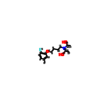 Cc1ccc(F)c(OCCCCN(C(C)O)C(C)O)c1